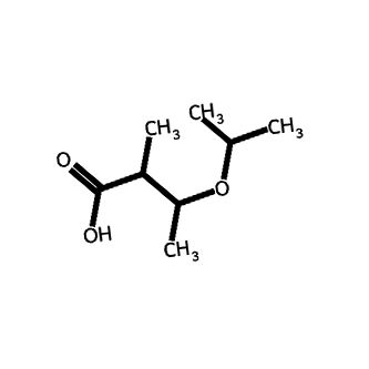 CC(C)OC(C)C(C)C(=O)O